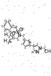 CCn1cc(-c2ccc(CN(CC(C)C)S(=O)(=O)Cc3ccccc3)s2)cn1